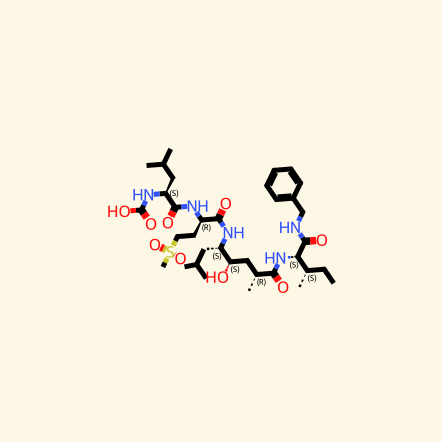 CC[C@H](C)[C@H](NC(=O)[C@H](C)C[C@H](O)[C@H](CC(C)C)NC(=O)[C@@H](CCS(C)(=O)=O)NC(=O)[C@H](CC(C)C)NC(=O)O)C(=O)NCc1ccccc1